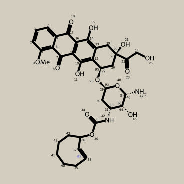 COc1cccc2c1C(=O)c1c(O)c3c(c(O)c1C2=O)C[C@](O)(C(=O)CO)C[C@H]3O[C@@H]1C[C@@H](NC(=O)OC2/C=C/CCCCC2)[C@@H](O)[C@@H](N)O1